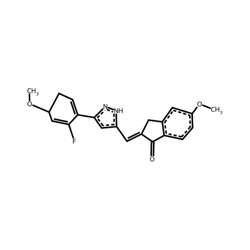 COc1ccc2c(c1)C/C(=C\c1cc(C3=CCC(OC)C=C3F)n[nH]1)C2=O